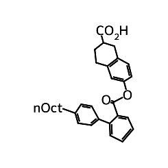 CCCCCCCCc1ccc(-c2ccccc2C(=O)Oc2ccc3c(c2)CCC(C(=O)O)C3)cc1